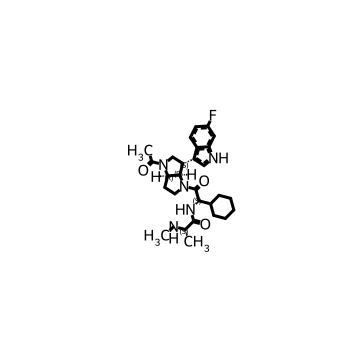 CN[C@@H](C)C(=O)N[C@H](C(=O)N1CC[C@@H]2[C@H]1[C@@H](c1c[nH]c3cc(F)ccc13)CN2C(C)=O)C1CCCCC1